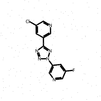 Fc1cncc(-n2nnc(-c3cncc(Cl)c3)n2)c1